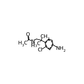 CC(=O)NCC(C)(C)c1ccc(N)cc1Cl